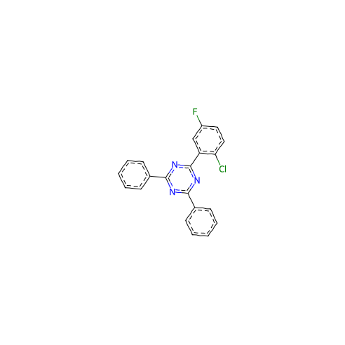 Fc1ccc(Cl)c(-c2nc(-c3ccccc3)nc(-c3ccccc3)n2)c1